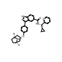 O=C(N[C@H](c1ccccn1)C1CC1)c1ccc2[nH]nc(-c3ccc(O[C@@H]4C[C@H]5CC[C@@H](C4)N5)cc3)c2c1